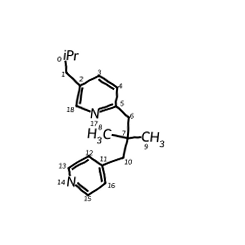 CC(C)Cc1ccc(CC(C)(C)Cc2ccncc2)nc1